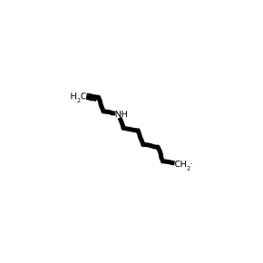 [CH2]CCCCCNCC=C